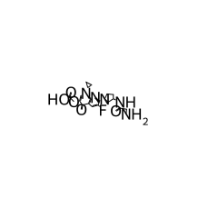 NCC(=O)NC1CCN(c2nc3c(cc2F)c(=O)c(OC(=O)O)cn3C2CC2)C1